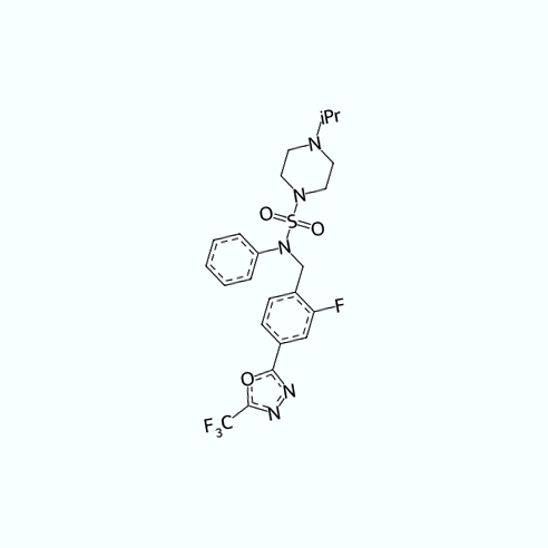 CC(C)N1CCN(S(=O)(=O)N(Cc2ccc(-c3nnc(C(F)(F)F)o3)cc2F)c2ccccc2)CC1